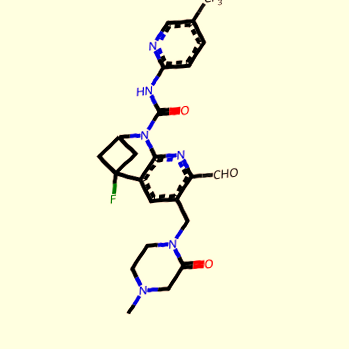 CN1CCN(Cc2cc3c(nc2C=O)N(C(=O)Nc2ccc(C(F)(F)F)cn2)C2CC3(F)C2)C(=O)C1